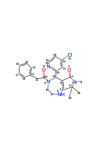 CN1C(=O)C2=C(NCCN(C(=O)Cc3ccccc3)C2c2cc(Cl)ccn2)C1(C)C